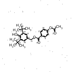 CC(=O)Oc1ccc(C(=O)OCc2cc(C(C)(C)C)c(O)c(C(C)(C)C)c2)cc1